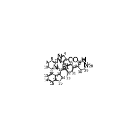 CCc1c(C(=O)O)cnn1-c1cccc(-c2cccc3c2C(Cc2ccc(C4CCN(C)CC4)cc2C)CC3)n1